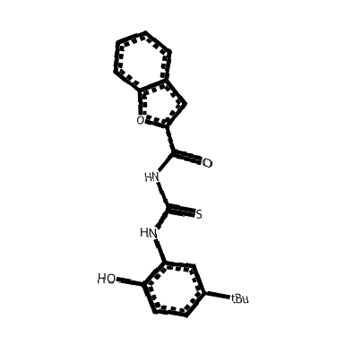 CC(C)(C)c1ccc(O)c(NC(=S)NC(=O)c2cc3ccccc3o2)c1